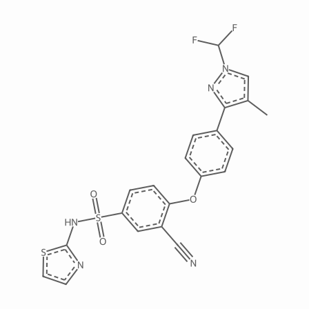 Cc1cn(C(F)F)nc1-c1ccc(Oc2ccc(S(=O)(=O)Nc3nccs3)cc2C#N)cc1